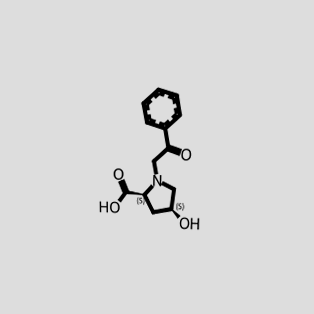 O=C(CN1C[C@@H](O)C[C@H]1C(=O)O)c1ccccc1